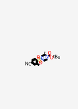 Cc1cc(C#N)ccc1S(=O)(=O)N1CCN(C(=O)OC(C)(C)C)[C@H](C)C1